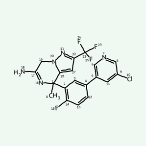 CC1(c2cc(-c3cncc(Cl)c3)ccc2F)N=C(N)Cn2nc(C(F)(F)F)cc21